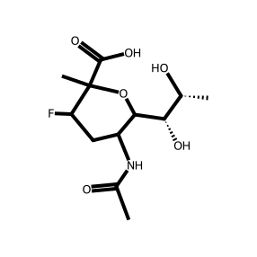 CC(=O)NC1CC(F)C(C)(C(=O)O)OC1[C@@H](O)[C@@H](C)O